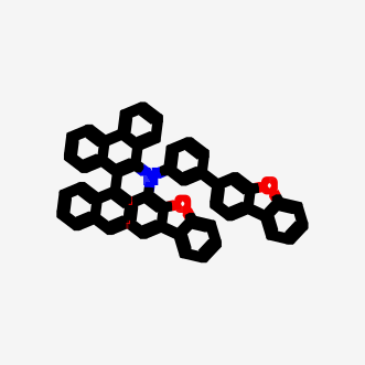 c1cc(-c2ccc3c(c2)oc2ccccc23)cc(N(c2c(-c3cccc4ccccc34)c3ccccc3c3ccccc23)c2cccc3c2oc2ccccc23)c1